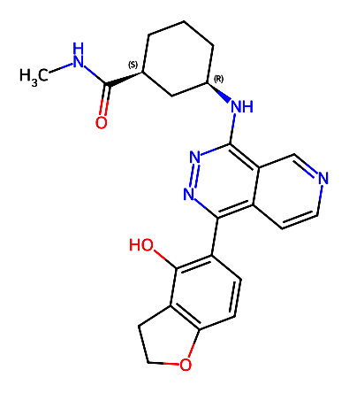 CNC(=O)[C@H]1CCC[C@@H](Nc2nnc(-c3ccc4c(c3O)CCO4)c3ccncc23)C1